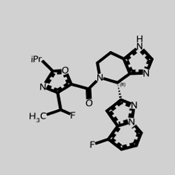 CC(C)c1nc(C(C)F)c(C(=O)N2CCc3[nH]cnc3[C@@H]2c2cc3c(F)cccn3n2)o1